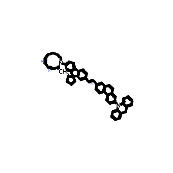 C=C1/C=C\C=C/CCCCN1c1ccc2c(c1)C1(CCCC1)c1cc(/C=C/c3ccc4c(ccc5cc(N6c7ccccc7Cc7ccccc76)ccc54)c3)ccc1-2